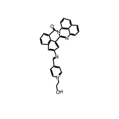 O=c1c2cccc3cc(/N=C/c4cc[n+](CCO)cc4)cc(c32)c2nc3cccc4cccc(c43)n12